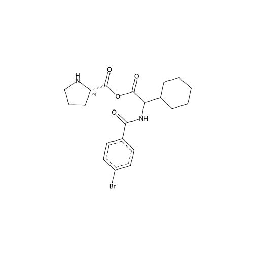 O=C(NC(C(=O)OC(=O)[C@@H]1CCCN1)C1CCCCC1)c1ccc(Br)cc1